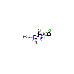 CC(C)(C)c1cc(C(=O)N2CCN(CC(=O)O)C(=O)C2(C)C)c(NC(=O)Nc2cccc(Cl)c2Cl)s1